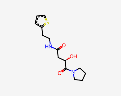 O=C(C[C@@H](O)C(=O)N1CCCC1)NCCc1cccs1